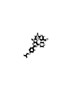 CC(C)COc1ccc(-c2nc(N3CCOCC3)c3c(n2)N(C)C(CN(C)c2ncc(C=O)cn2)N3)cc1